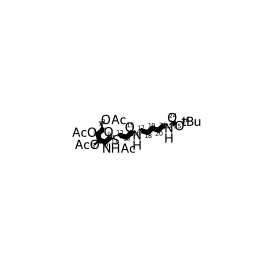 CC(=O)N[C@@H]1[C@@H](OC(C)=O)[C@@H](OC(C)=O)[C@@H](COC(C)=O)O[C@@H]1SCCC(=O)NCCCCCNC(=O)OC(C)(C)C